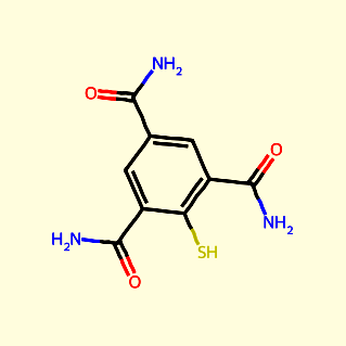 NC(=O)c1cc(C(N)=O)c(S)c(C(N)=O)c1